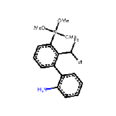 CCC(CC)c1c(-c2ccccc2N)cccc1[Si](OC)(OC)OC